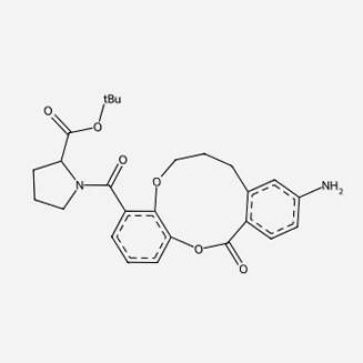 CC(C)(C)OC(=O)C1CCCN1C(=O)c1cccc2c1OCCCc1cc(N)ccc1C(=O)O2